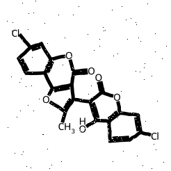 Cc1oc2c(c1-c1c(O)c3ccc(Cl)cc3oc1=O)c(=O)oc1cc(Cl)ccc12